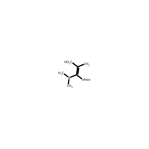 CCCCCC(=C(C)C(=O)O)N(C)C